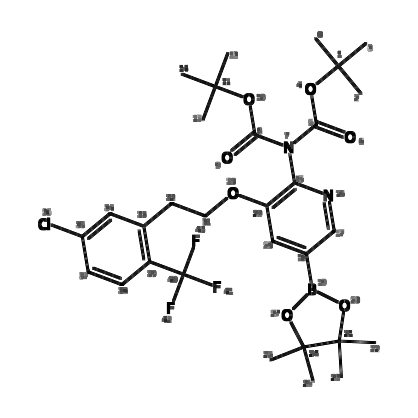 CC(C)(C)OC(=O)N(C(=O)OC(C)(C)C)c1ncc(B2OC(C)(C)C(C)(C)O2)cc1OCCc1cc(Cl)ccc1C(F)(F)F